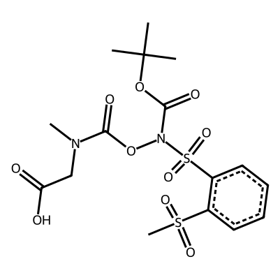 CN(CC(=O)O)C(=O)ON(C(=O)OC(C)(C)C)S(=O)(=O)c1ccccc1S(C)(=O)=O